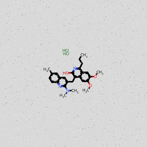 CCCc1nc(O)c(Cc2cc3cc(C)ccc3nc2N(C)C)c2cc(OC)c(OC)cc12.Cl.Cl